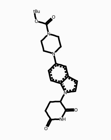 CC(C)(C)OC(=O)N1CCN(c2ccc3c(ccn3C3CCC(=O)NC3=O)c2)CC1